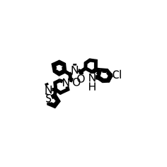 CN(C(=O)C1CCCc2c1[nH]c1ccc(Cl)cc21)C(C(=O)N1CCC(c2cccs2)(N(C)C)CC1)c1ccccc1